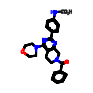 O=C(O)Nc1ccc(-c2nc3c(c(N4CCOCC4)n2)CCN(C(=O)c2ccccc2)C3)cc1